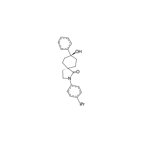 CC(C)c1ccc(N2CC[C@]3(CC[C@@](O)(c4ccccc4)CC3)C2=O)cc1